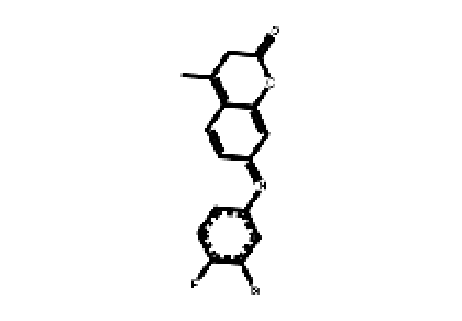 CC1=C2C=CC(=Nc3ccc(F)c(Br)c3)C=C2OC(=O)C1